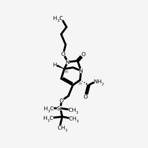 CCCCON1C(=O)N2C[C@@H]1C=C(CO[Si](C)(C)C(C)(C)C)[C@H]2C(N)=O